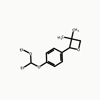 CCOC(CC)Oc1ccc(C2OCC2(C)C)cc1